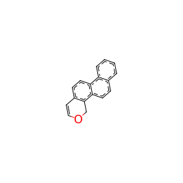 C1=Cc2ccc3c(ccc4ccccc43)c2CO1